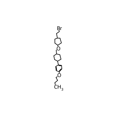 CCCCOc1ccc(C2CCC(COC3CCC(CCBr)CC3)CC2)cc1